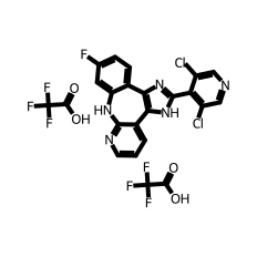 Fc1ccc2c(c1)Nc1ncccc1-c1[nH]c(-c3c(Cl)cncc3Cl)nc1-2.O=C(O)C(F)(F)F.O=C(O)C(F)(F)F